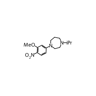 COc1cc(N2CCCN(C(C)C)CC2)ccc1[N+](=O)[O-]